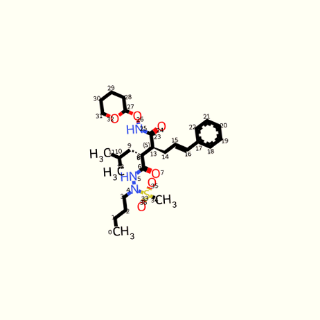 CCCCN(NC(=O)[C@H](CC(C)C)[C@H](CC=Cc1ccccc1)C(=O)NOC1CCCCO1)S(C)(=O)=O